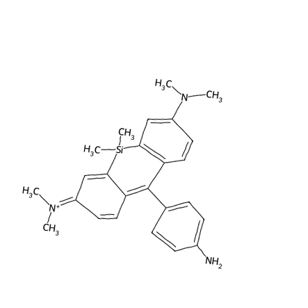 CN(C)c1ccc2c(c1)[Si](C)(C)C1=CC(=[N+](C)C)C=CC1=C2c1ccc(N)cc1